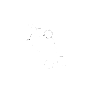 CCCCCCN(C(=O)CCCOc1ccc2c(c1)CN(CC(=O)OCC(C)(C)C)C(N)=N2)C1CCCCC1